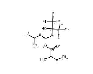 CCC(C)C(=O)OC(CC(C)C)CC(O)(C(F)(F)F)C(F)(F)F